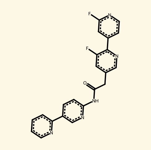 O=C(Cc1cnc(-c2ccnc(F)c2)c(F)c1)Nc1ccc(-c2ccccn2)cn1